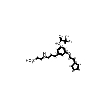 O=C(O)C(F)(F)F.O=C(O)CCNCCCc1cccc(OCCC2CCCC2)c1